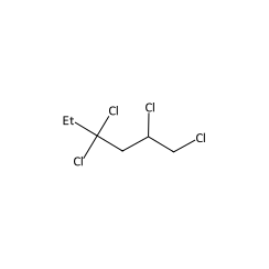 CCC(Cl)(Cl)CC(Cl)CCl